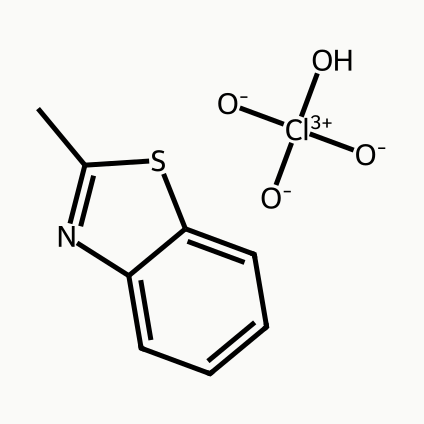 Cc1nc2ccccc2s1.[O-][Cl+3]([O-])([O-])O